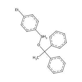 CCc1ccc([SiH2]OC(C)(c2ccccc2)c2ccccc2)cc1